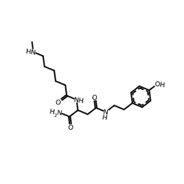 CNCCCCCC(=O)NC(CC(=O)NCCc1ccc(O)cc1)C(N)=O